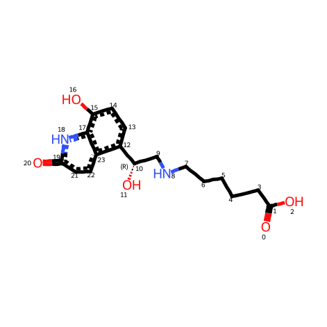 O=C(O)CCCCCNC[C@H](O)c1ccc(O)c2[nH]c(=O)ccc12